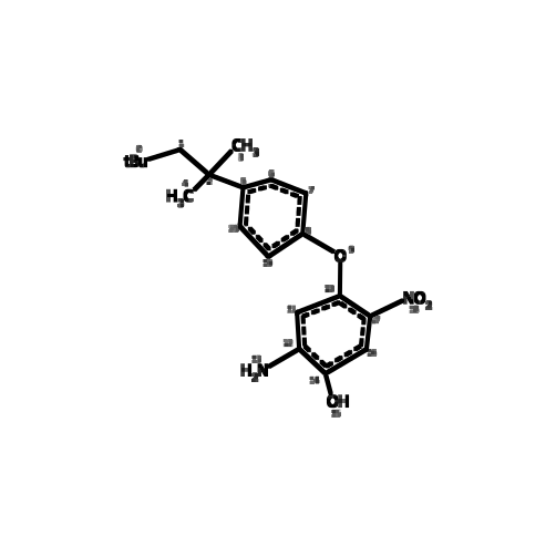 CC(C)(C)CC(C)(C)c1ccc(Oc2cc(N)c(O)cc2[N+](=O)[O-])cc1